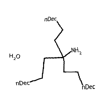 CCCCCCCCCCCCC(N)(CCCCCCCCCCCC)CCCCCCCCCCCC.O